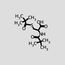 CC(C)(C)C(=O)NC(CSC(=O)C(C)(C)C)C(=O)O